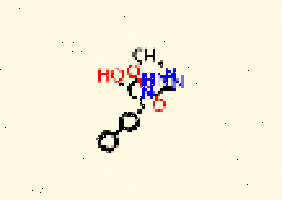 CCOC(=O)[C@H](CO)C[C@@H](Cc1ccc(-c2ccccc2)cc1)NC(=O)c1cnn[nH]1